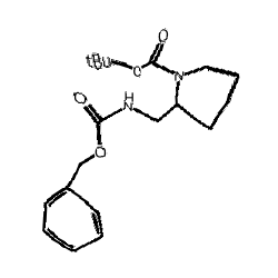 CC(C)(C)OC(=O)N1CCCCC1CNC(=O)OCc1ccccc1